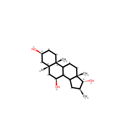 C[C@H]1CC2C3C(CC[C@]2(C)[C@@H]1O)[C@@]1(C)CC[C@H](O)C[C@H]1C[C@@H]3O